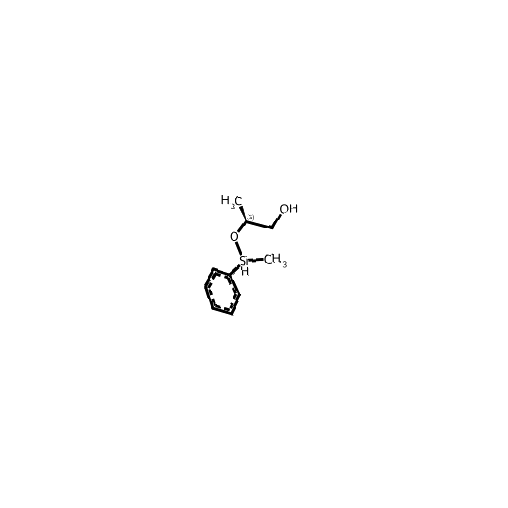 C[C@@H](CO)O[SiH](C)c1ccccc1